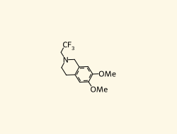 COc1cc2c(cc1OC)CN(CC(F)(F)F)CC2